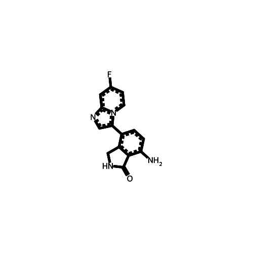 Nc1ccc(-c2cnc3cc(F)ccn23)c2c1C(=O)NC2